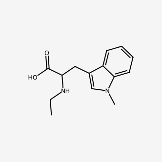 CCNC(Cc1cn(C)c2ccccc12)C(=O)O